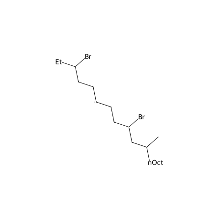 CCCCCCCCC(C)CC(Br)CC[CH]CCC(Br)CC